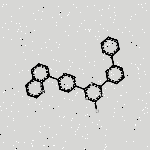 Clc1nc(-c2ccc(-c3cccc4cccnc34)cc2)nc(-c2cccc(-c3ccccc3)c2)n1